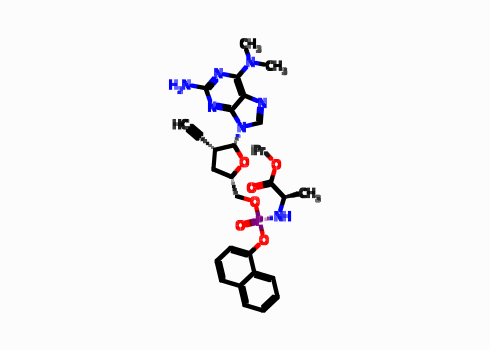 C#C[C@H]1C[C@@H](CO[P@@](=O)(N[C@H](C)C(=O)OC(C)C)Oc2cccc3ccccc23)O[C@H]1n1cnc2c(N(C)C)nc(N)nc21